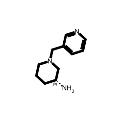 N[C@@H]1CCCN(Cc2cccnc2)C1